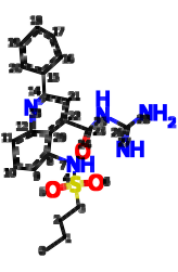 CCCCS(=O)(=O)Nc1cccc2nc(-c3ccccc3)cc(C(=O)NC(=N)N)c12